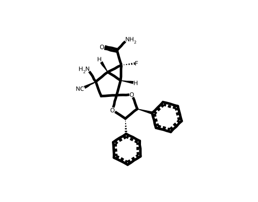 N#C[C@]1(N)CC2(O[C@@H](c3ccccc3)[C@H](c3ccccc3)O2)[C@@H]2[C@H]1[C@@]2(F)C(N)=O